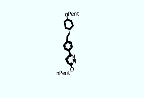 CCCCCOc1ccc(-c2ccc(CC[C@H]3CC[C@H](CCCCC)CC3)cc2)nn1